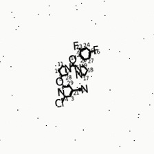 N#Cc1cc(Cl)nc(O[C@H]2CCN(C(=O)N3N=CC[C@H]3c3cc(F)cc(F)c3)C2)c1